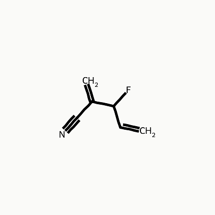 C=CC(F)C(=C)C#N